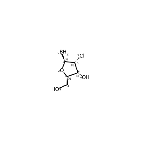 B[C@@H]1O[C@H](CO)[C@@H](O)[C@H]1Cl